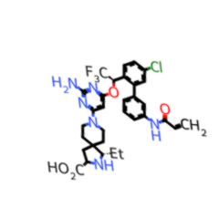 C=CC(=O)Nc1cccc(-c2cc(Cl)ccc2[C@@H](Oc2cc(N3CCC4(CC3)CC(C(=O)O)N[C@H]4CC)nc(N)n2)C(F)(F)F)c1